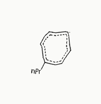 C[CH]Cc1cc[c]cc1